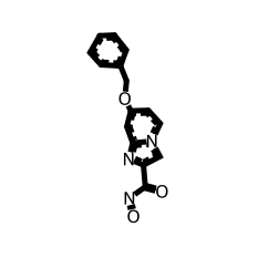 O=NC(=O)c1cn2ccc(OCc3ccccc3)cc2n1